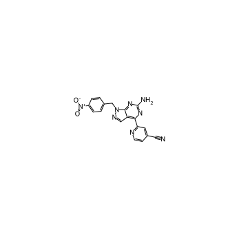 N#Cc1ccnc(-c2nc(N)nc3c2cnn3Cc2ccc([N+](=O)[O-])cc2)c1